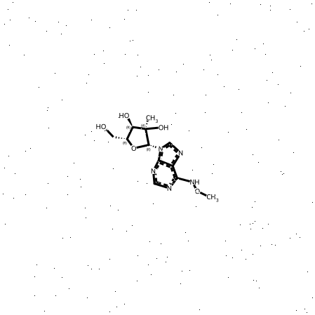 CONc1ncnc2c1ncn2[C@@H]1O[C@H](CO)[C@@H](O)[C@@]1(C)O